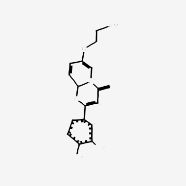 CNCCNC1=CN2C(=O)C=C(c3ccc(OC)c(OC)c3)PC2C=C1